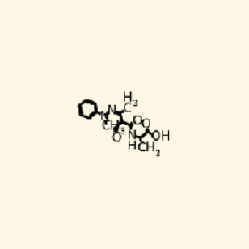 C/C(=N/N(C)c1ccccc1)C(C=O)C(=O)NC(C)C(=O)O